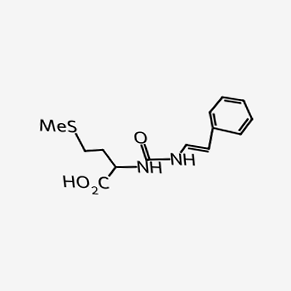 CSCCC(NC(=O)NC=Cc1ccccc1)C(=O)O